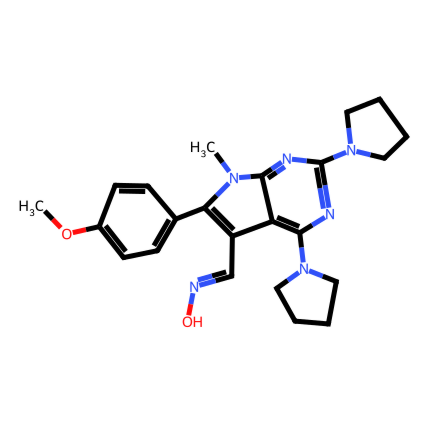 COc1ccc(-c2c(C=NO)c3c(N4CCCC4)nc(N4CCCC4)nc3n2C)cc1